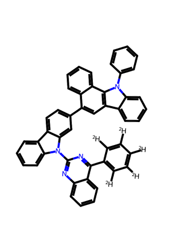 [2H]c1c([2H])c([2H])c(-c2nc(-n3c4ccccc4c4ccc(-c5cc6c7ccccc7n(-c7ccccc7)c6c6ccccc56)cc43)nc3ccccc23)c([2H])c1[2H]